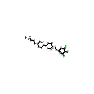 C/C=C/C[C@H]1CC[C@H]([C@H]2CC[C@H](CCc3cc(F)c(F)c(F)c3)CC2)CC1